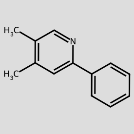 Cc1cnc(-c2ccccc2)cc1C